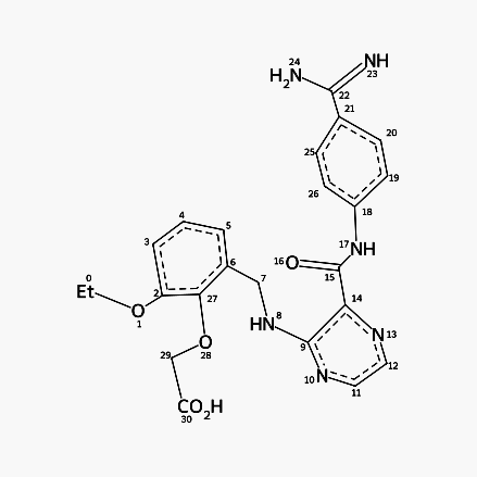 CCOc1cccc(CNc2nccnc2C(=O)Nc2ccc(C(=N)N)cc2)c1OCC(=O)O